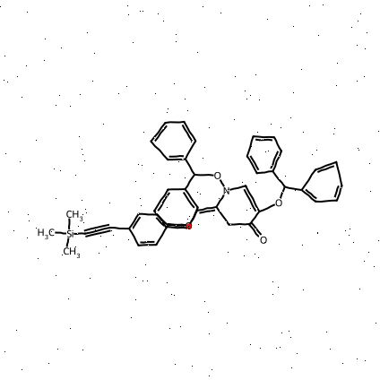 C[Si](C)(C)C#Cc1ccc(OC=C2CC(=O)C(OC(c3ccccc3)c3ccccc3)=CN2OC(c2ccccc2)c2ccccc2)cc1